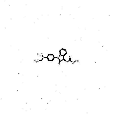 CCC(C)c1ccc(N2C(=O)/C(=N/C(=O)OC)c3ccccc32)cc1